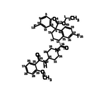 CCOC(=O)C1(c2cccc(F)c2)CC[C@@H](C(=O)N2CCC(NC(=O)c3ccccc3OC)CC2)c2cc(F)ccc21